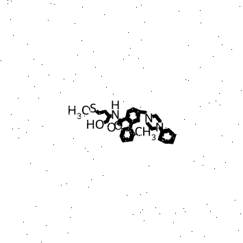 CSCCC(NC(=O)c1ccc(CN2CCN(c3ccccc3)CC2)cc1-c1ccccc1C)C(=O)O